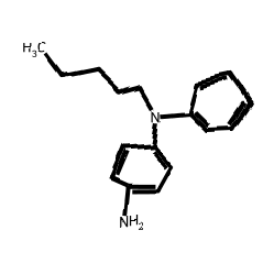 CCCCCN(c1ccccc1)c1ccc(N)cc1